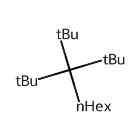 CCCCCCC(C(C)(C)C)(C(C)(C)C)C(C)(C)C